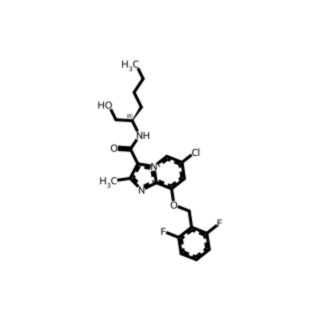 CCCC[C@H](CO)NC(=O)c1c(C)nc2c(OCc3c(F)cccc3F)cc(Cl)cn12